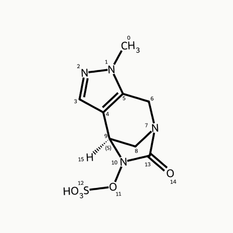 Cn1ncc2c1CN1C[C@H]2N(OS(=O)(=O)O)C1=O